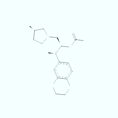 CCCCCCCC(=O)N[C@H](CN1CC[C@@H](O)C1)[C@H](O)c1ccc2c(c1)OCCO2